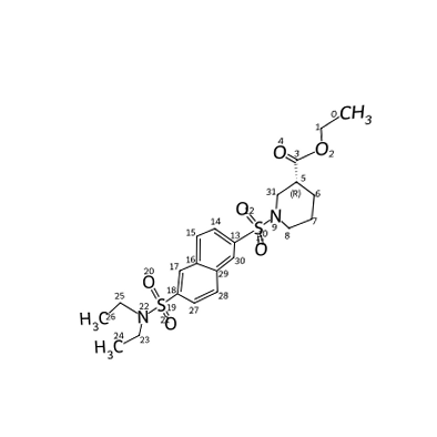 CCOC(=O)[C@@H]1CCCN(S(=O)(=O)c2ccc3cc(S(=O)(=O)N(CC)CC)ccc3c2)C1